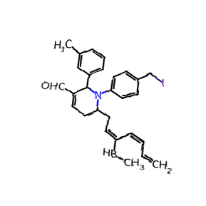 C=C/C=C\C(BC)=C/CC1CC=C(C=O)C(c2cccc(C)c2)N1c1ccc(CI)cc1